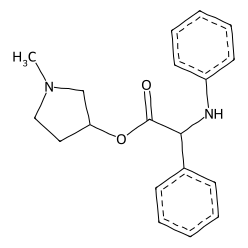 CN1CCC(OC(=O)C(Nc2ccccc2)c2ccccc2)C1